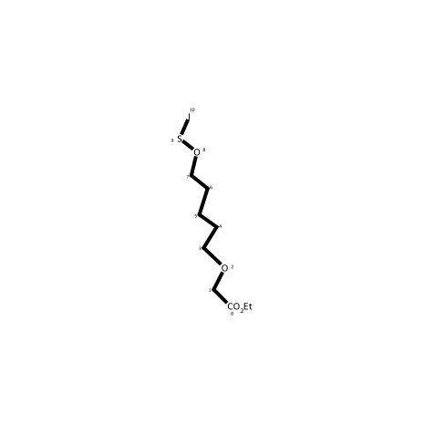 CCOC(=O)COCCCCCOSI